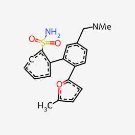 CNCc1ccc(-c2ccc(C)o2)c(-c2ccccc2S(N)(=O)=O)c1